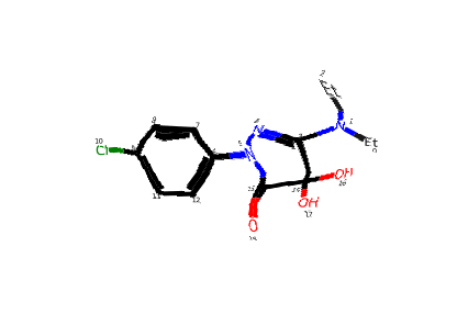 CCN(CC)C1=NN(c2ccc(Cl)cc2)C(=O)C1(O)O